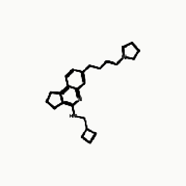 c1cc2c3c(c(NCC4CCC4)nc2cc1CCCCN1CCCC1)CCC3